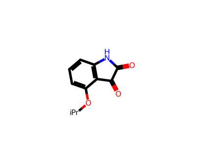 CC(C)Oc1cccc2c1C(=O)C(=O)N2